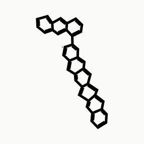 [c]1cc2cc3cc4cc5cc6ccccc6cc5cc4cc3cc2cc1-c1cccc2cc3ccccc3cc12